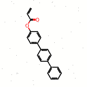 C=CC(=O)Oc1ccc(-c2ccc(-c3ccccc3)cc2)cc1